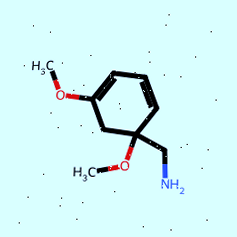 COC1=CC=CC(CN)(OC)C1